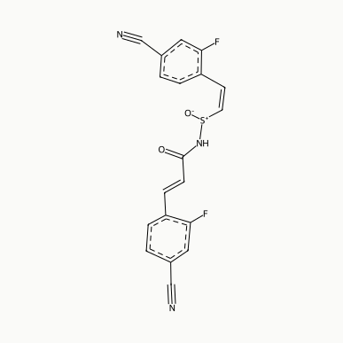 N#Cc1ccc(/C=C\[S+]([O-])NC(=O)/C=C/c2ccc(C#N)cc2F)c(F)c1